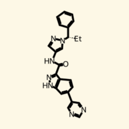 CC[C@@H](c1ccccc1)n1cc(NC(=O)c2n[nH]c3cc(-c4cncnc4)ccc23)cn1